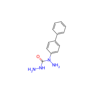 NNC(=O)N(N)c1ccc(-c2ccccc2)cc1